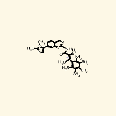 B/C(C(=O)Nc1ncc2ccc(-c3cnc(C)n3C)cc2n1)=C(/B)c1c(B)c(B)c(B)c(B)c1B